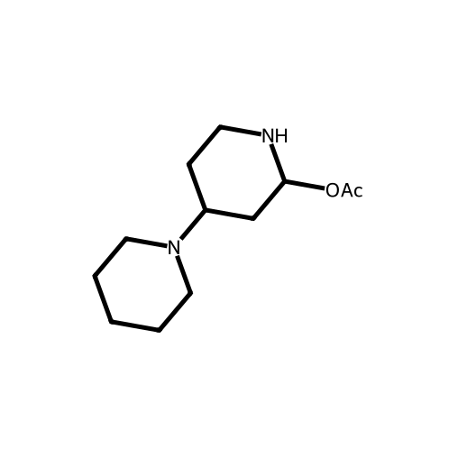 CC(=O)OC1CC(N2CCCCC2)CCN1